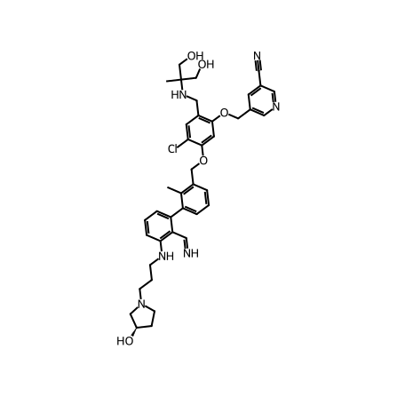 Cc1c(COc2cc(OCc3cncc(C#N)c3)c(CNC(C)(CO)CO)cc2Cl)cccc1-c1cccc(NCCCN2CC[C@@H](O)C2)c1C=N